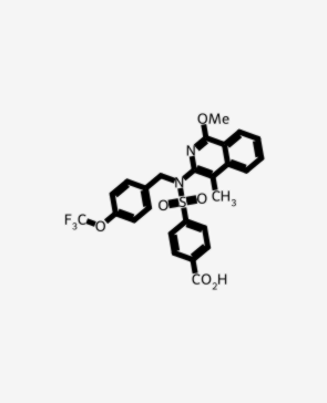 COc1nc(N(Cc2ccc(OC(F)(F)F)cc2)S(=O)(=O)c2ccc(C(=O)O)cc2)c(C)c2ccccc12